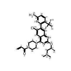 C=CC(=O)N1CCN(c2nc(O[C@@H](C)CN(C)C)nc3cc(-c4nc(N)ccc4C(F)(F)F)c(Cl)cc23)CC1